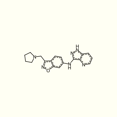 c1cnc2c(Nc3ccc4c(CN5CCCC5)noc4c3)n[nH]c2c1